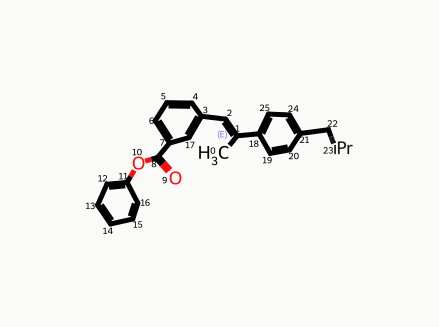 C/C(=C\c1cccc(C(=O)Oc2ccccc2)c1)c1ccc(CC(C)C)cc1